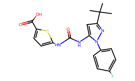 CC(C)(C)c1cc(NC(=O)Nc2ccc(C(=O)O)s2)n(-c2ccc(F)cc2)n1